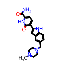 CN1CCN(Cc2ccc3[nH]c(-c4c[c]c(C(N)=O)[nH]c4=O)cc3c2)CC1